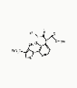 CCOC(=O)c1cnn(-c2ccnc(N(C(=O)OC(C)(C)C)C(=O)OC(C)(C)C)c2Cl)c1C(F)(F)F